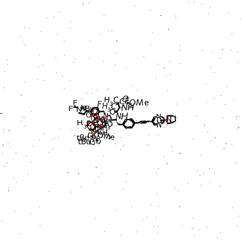 COC(=O)N[C@H](C(=O)N[C@@H](Cc1ccc(C#Cc2cnc(N3CC4CCC(C3)N4C3COC3)nc2)cc1)[C@H](CN(Cc1c(F)cc(-c2ccn(C(F)F)n2)cc1F)NC(=O)[C@@H](NC(=O)OC)C(C)(C)C(F)(F)F)OC(=O)CC(C)(C)c1c(CC(=O)OC(C)(C)C)cccc1OP(=O)(OC(C)(C)C)OC(C)(C)C)C(C)(C)C(F)(F)F